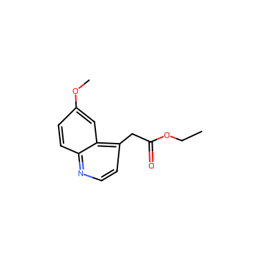 CCOC(=O)Cc1ccnc2ccc(OC)cc12